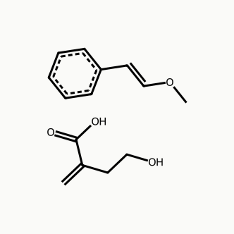 C=C(CCO)C(=O)O.COC=Cc1ccccc1